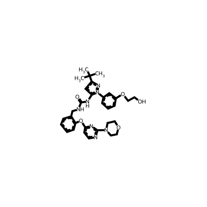 CC(C)(C)c1cc(NC(=O)NCc2ccccc2Oc2ccnc(N3CCOCC3)n2)n(-c2cccc(OCCO)c2)n1